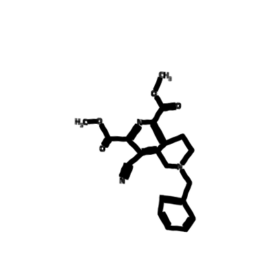 COC(=O)c1nc(C(=O)OC)c2c(c1C#N)CN(Cc1ccccc1)CC2